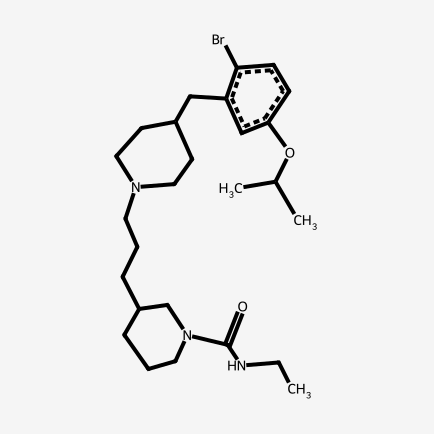 CCNC(=O)N1CCCC(CCCN2CCC(Cc3cc(OC(C)C)ccc3Br)CC2)C1